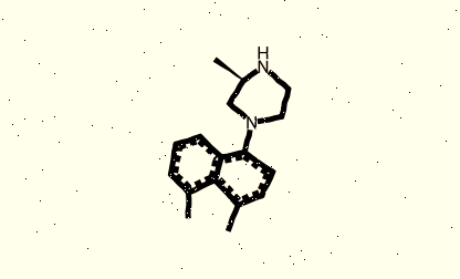 Cc1cccc2c(N3CCN[C@H](C)C3)ccc(C)c12